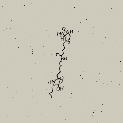 CSCC[C@H](NC(=O)CCCCCNC(=O)CCCC[C@@H]1SC[C@@H]2NC(=O)N[C@@H]21)C(=O)O